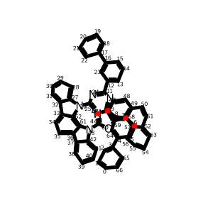 c1ccc(-c2cccc(-c3nc(-c4cccc(-c5ccccc5)c4)nc(-n4c5ccccc5c5ccc6c7ccccc7n(-c7nc8ccc9ccc%10ccccc%10c9c8o7)c6c54)n3)c2)cc1